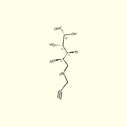 C#CCNC[C@@H](O)[C@H](O)[C@H](O)[C@@H](O)C=O